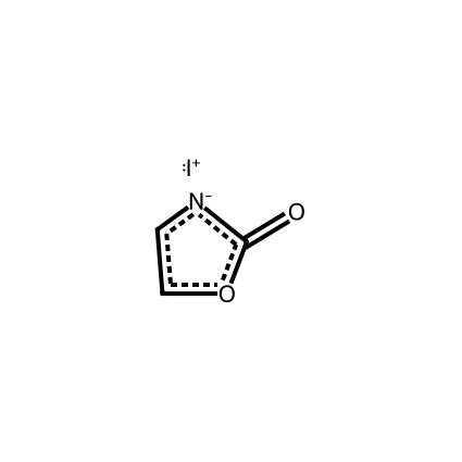 O=c1[n-]cco1.[I+]